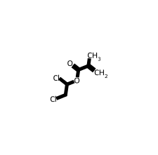 C=C(C)C(=O)OC(Cl)CCl